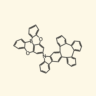 c1ccc2c(c1)Oc1cc(-n3c4ccccc4c4cc5c(cc43)-c3ccccc3-c3ccccc3-c3ccccc3-5)cc3c1B2c1ccccc1O3